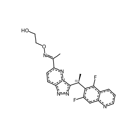 CC(=NOCCO)c1ccc2nnc([C@@H](C)c3c(F)cc4ncccc4c3F)n2n1